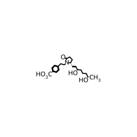 C[C@H](O)CCC[C@@H](O)C=C[C@H]1CCC(=O)N1CCc1ccc(C(=O)O)cc1